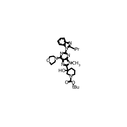 CC(C)c1nc2ccccc2n1-c1nc(N2CCOCC2)c2nc(C3(O)CCCN(C(=O)OC(C)(C)C)C3)n(C)c2n1